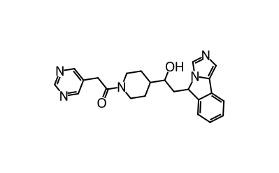 O=C(Cc1cncnc1)N1CCC(C(O)CC2c3ccccc3-c3cncn32)CC1